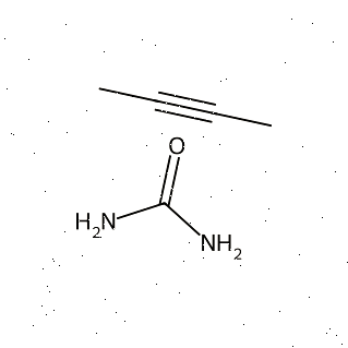 CC#CC.NC(N)=O